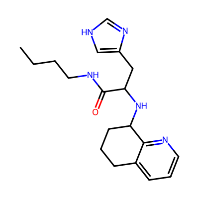 CCCCNC(=O)C(Cc1c[nH]cn1)NC1CCCc2cccnc21